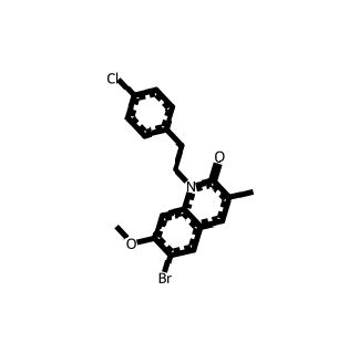 COc1cc2c(cc1Br)cc(C)c(=O)n2CCc1ccc(Cl)cc1